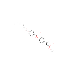 CCCCOc1ccc(C(=O)Oc2ccc(C=CC(=O)OC)cc2)cc1